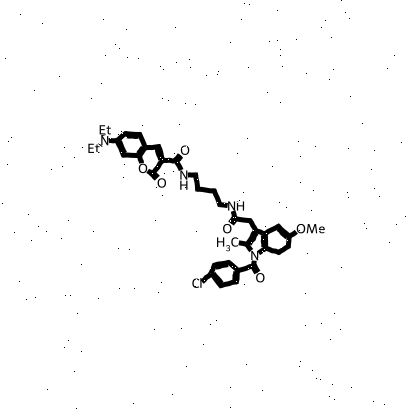 CCN(CC)c1ccc2cc(C(=O)NCCCCNC(=O)Cc3c4c(n(C(=O)c5ccc(Cl)cc5)c3C)CCC(OC)=C4)c(=O)oc2c1